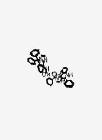 O=C(/C=C/c1nccn1C(c1ccccc1)(c1ccccc1)c1ccccc1)N[C@@H]1CCCC[C@@H]1C(=O)N1CC[C@H]2[C@H](c3ccccc3)Nc3ccccc3[C@@H]21